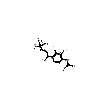 CC(=O)Nc1ccc(C(O)CNC(C)(C)C)c(F)c1F